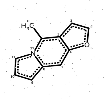 Cc1c2ccoc2cc2cccn12